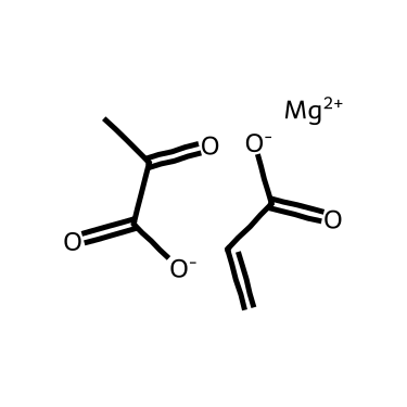 C=CC(=O)[O-].CC(=O)C(=O)[O-].[Mg+2]